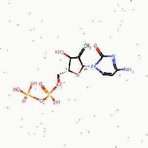 C=C1C(O)[C@@H](COP(=O)(O)OP(=O)(O)O)O[C@H]1n1ccc(N)nc1=O